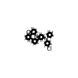 Clc1ccc(N(c2ccccc2)c2ccc3c(c2)c2cccc4c5cccc6oc7cccc(c7c65)n3c42)cc1